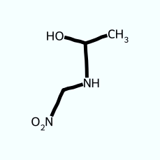 CC(O)NC[N+](=O)[O-]